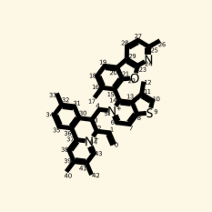 C=CC1C(C[n+]2ccc3scc(C)c3c2-c2c(C)ccc3c2oc2nc(C)ccc23)c2cc(C)ccc2-c2cc(C)c(C)c[n+]21